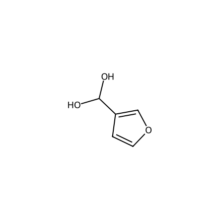 OC(O)c1ccoc1